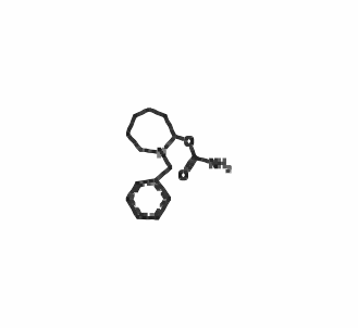 NC(=O)OC1CCCCCN1Cc1ccccc1